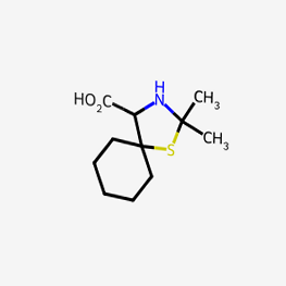 CC1(C)NC(C(=O)O)C2(CCCCC2)S1